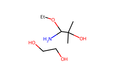 CCOC(N)C(C)(C)O.OCCO